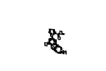 COC(=O)[C@@H]1CCCN1c1cc2n(c(=O)c1)CC1CNCC2C1